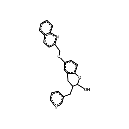 OC1Oc2ccc(OCc3ccc4ccccc4n3)cc2CC1Cc1cccnc1